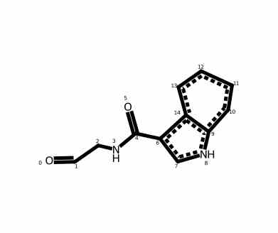 O=CCNC(=O)c1c[nH]c2ccccc12